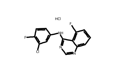 Cl.Fc1ccc(Nc2ncnc3cccc(F)c23)cc1Cl